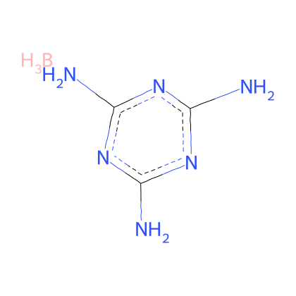 B.Nc1nc(N)nc(N)n1